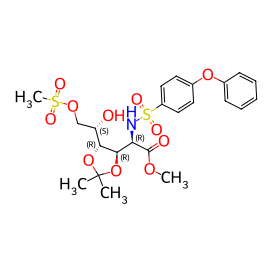 COC(=O)[C@H](NS(=O)(=O)c1ccc(Oc2ccccc2)cc1)[C@H]1OC(C)(C)O[C@@H]1[C@@H](O)COS(C)(=O)=O